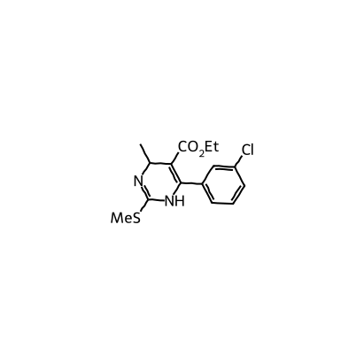 CCOC(=O)C1=C(c2cccc(Cl)c2)NC(SC)=NC1C